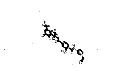 Cc1cc(C2=NOC(c3cc(C(F)(F)F)cc(Cl)c3F)(C(F)(F)F)C2)ccc1C(=O)N[C@@H]1CCN(CC#N)C1